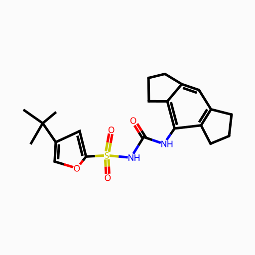 CC(C)(C)c1coc(S(=O)(=O)NC(=O)Nc2c3c(cc4c2CCC4)CCC3)c1